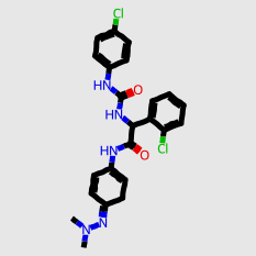 CN(C)N=C1C=CC(NC(=O)C(NC(=O)Nc2ccc(Cl)cc2)c2ccccc2Cl)=CC1